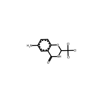 Nc1ccc2c(c1)C(=O)NC(C(Cl)(Cl)Cl)O2